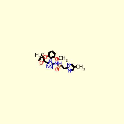 COc1cccc(OC)c1-n1c(N[S+]([O-])CCc2ncc(C)cn2)nnc1-c1ccco1